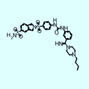 CCCCN1CCN(C(=N)c2cccc(NC(=O)Nc3ccc(S(=O)(=O)n4cc5ccc(S(N)(=O)=O)cc5c4)cc3)c2)CC1